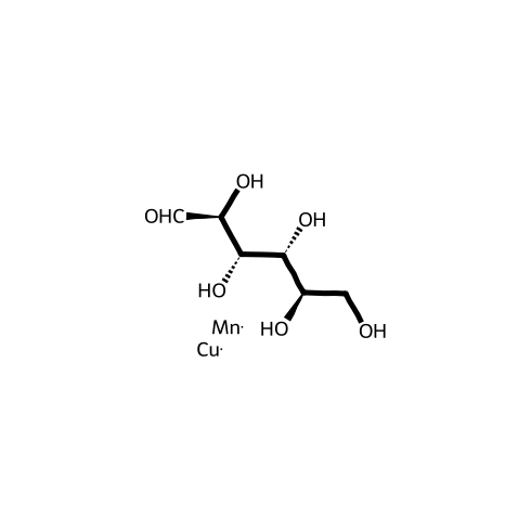 O=C[C@@H](O)[C@@H](O)[C@H](O)[C@H](O)CO.[Cu].[Mn]